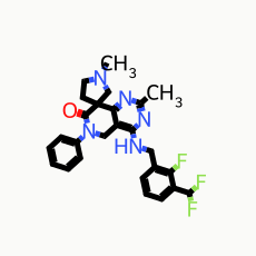 Cc1nc(NCc2cccc(C(F)F)c2F)c2c(n1)C1(CCN(C)C1)C(=O)N(c1ccccc1)C2